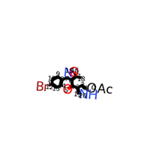 CC(=O)Oc1cc(C(=O)c2c(-c3ccc(Br)cc3)noc2C)c[nH]1